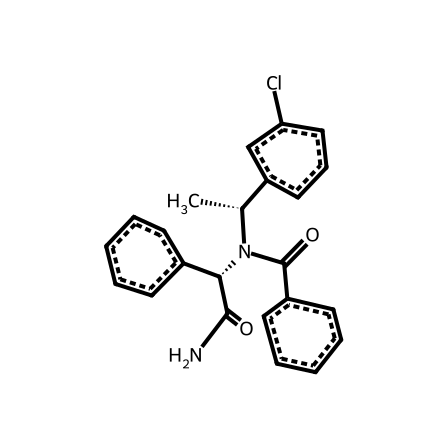 C[C@H](c1cccc(Cl)c1)N(C(=O)c1ccccc1)[C@H](C(N)=O)c1ccccc1